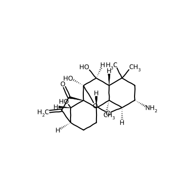 C=C1C(=O)[C@]23[C@@H](O)[C@H]1CC[C@H]2[C@]1(C)[C@@H]2OO[C@]3(O)[C@@H](O)[C@@H]1C(C)(C)C[C@@H]2N